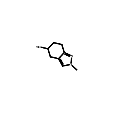 Cn1cc2c(n1)CCC(C(C)(C)C)C2